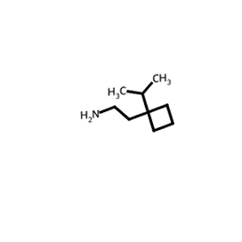 CC(C)C1(CCN)CCC1